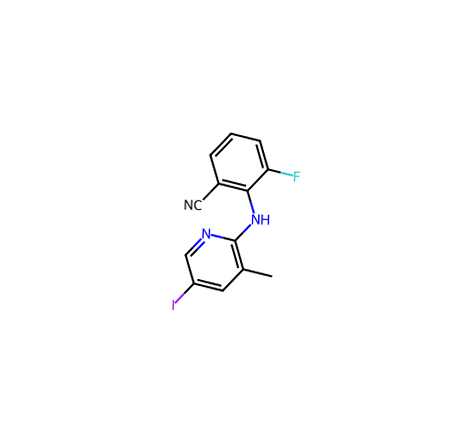 Cc1cc(I)cnc1Nc1c(F)cccc1C#N